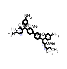 C=C/C(N)=C\C(=C\C(c1ccc(-c2ccc(C(C(/C=C\CN)=C(/C)OC)c3ccc(N)cc3OC)cc2)cc1)c1ccc(N)cc1OC)OC